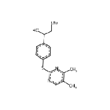 Cc1cnc(Sc2ccc(C(O)CC(C)(C)C)cc2)nc1C